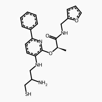 C[C@@H](Oc1nc(-c2ccccc2)ccc1NCC(N)CS)C(=O)NCc1ccco1